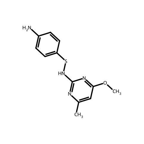 COc1cc(C)nc(NSc2ccc(N)cc2)n1